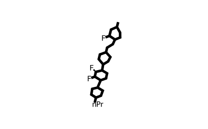 CCCC1CCC(C2CCC(C3CCC(CCC4CCC(C)CC4F)CC3)[C@H](F)C2F)CC1